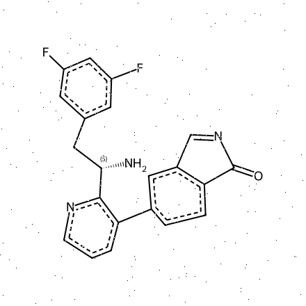 N[C@@H](Cc1cc(F)cc(F)c1)c1ncccc1-c1ccc2c(c1)C=NC2=O